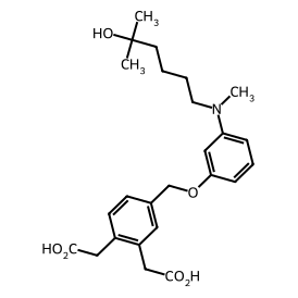 CN(CCCCC(C)(C)O)c1cccc(OCc2ccc(CC(=O)O)c(CC(=O)O)c2)c1